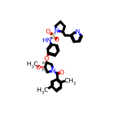 CO[C@@H]1CN(C(=O)c2cc(C)ccc2C)C[C@H]1Oc1cccc(NS(=O)(=O)N2CCCC2Cc2cccnc2)c1